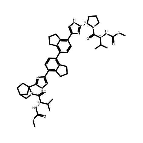 COC(=O)N[C@H](C(=O)N1CCC[C@H]1c1nc(-c2ccc(-c3ccc(-c4c[nH]c(C56CCC(CN5C(=O)[C@@H](NC(=O)OC)C(C)C)C6)n4)c4c3CCC4)c3c2CCC3)c[nH]1)C(C)C